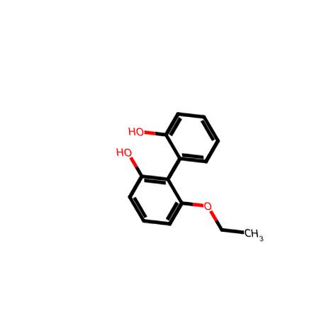 CCOc1cccc(O)c1-c1ccccc1O